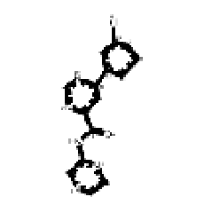 O=C(Nc1cnccn1)c1cc(-c2cccc(Cl)c2)ncn1